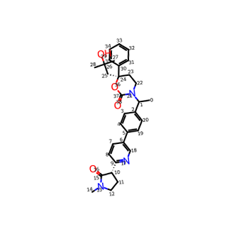 CC(c1ccc(-c2ccc([C@@H]3CCN(C)C3=O)nc2)cc1)N1CC[C@](CC(C)(C)O)(c2ccccc2)OC1=O